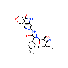 CC1CCC(C(NC(=O)c2conc2C(C)C)C(=O)Nc2cc3c(cn2)C2(CCOCC2)C(=O)N3)CC1